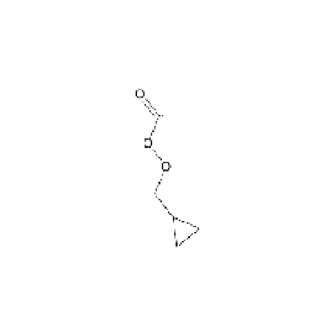 O=[C]OOCC1CC1